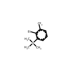 CCc1c(C(F)(F)F)cccc1S(C)(C)C